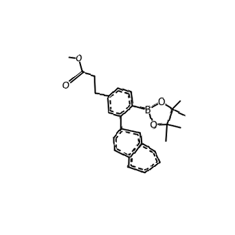 COC(=O)CCc1ccc(B2OC(C)(C)C(C)(C)O2)c(-c2ccc3ccccc3c2)c1